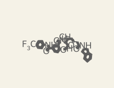 CN1C(=O)c2cc(C(=O)Nc3ccc(C(F)(F)F)cc3)ccc2OC[C@@H]2O[C@H](CC(=O)NC3Cc4ccccc4C3)CC[C@@H]21